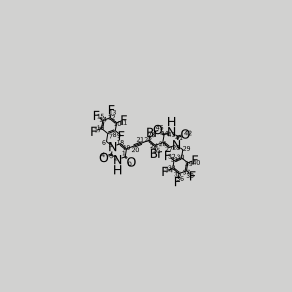 O=c1[nH]c(=O)n(Cc2c(F)c(F)c(F)c(F)c2F)cc1C#C/C(Br)=C(\Br)c1cn(Cc2c(F)c(F)c(F)c(F)c2F)c(=O)[nH]c1=O